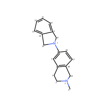 CN1CCc2cc(N3Cc4ccccc4C3)ccc2C1